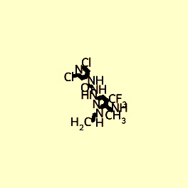 C=CCNc1nc(NNC(=O)Nc2cc(Cl)nc(Cl)c2)cc(C(F)(F)F)c1C(C)=N